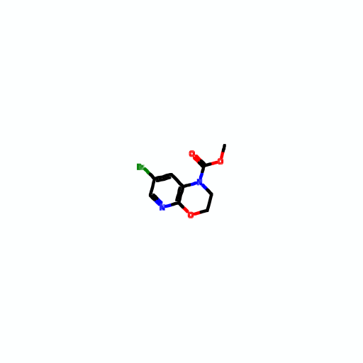 COC(=O)N1CCOc2ncc(Br)cc21